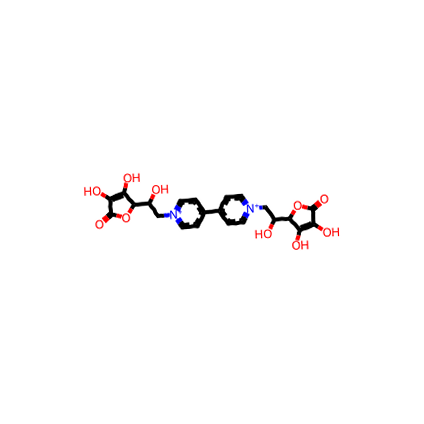 O=C1OC(C(O)C[n+]2ccc(-c3cc[n+](CC(O)C4OC(=O)C(O)=C4O)cc3)cc2)C(O)=C1O